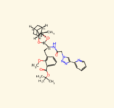 COc1c(C[C@H](NC(=O)Cn2cc(-c3ccccn3)nn2)B2O[C@@H]3C[C@@H]4C[C@@H](C4(C)C)[C@]3(C)O2)cccc1C(=O)OC(C)(C)C